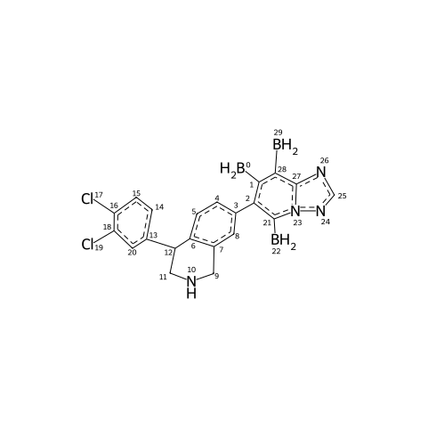 Bc1c(-c2ccc3c(c2)CNCC3c2ccc(Cl)c(Cl)c2)c(B)n2ncnc2c1B